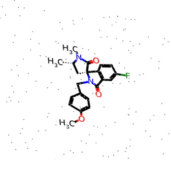 COc1ccc(CN2C(=O)c3cc(F)ccc3[C@@]23C[C@H](C)N(C)C3=O)cc1